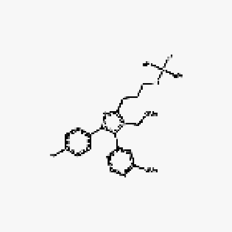 CCC[Si](CCC)(CCC)OCCCc1nc(-c2ccc(Cl)cc2)c(-c2ccnc(SC)n2)n1COC